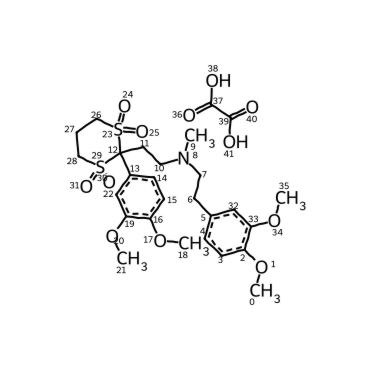 COc1ccc(CCN(C)CCC2(c3ccc(OC)c(OC)c3)S(=O)(=O)CCCS2(=O)=O)cc1OC.O=C(O)C(=O)O